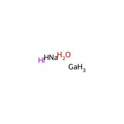 I.O.[GaH3].[NaH]